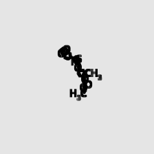 CCOC(=O)COc1ccc(OCc2nc(-c3ccc4c(c3)OCCO4)cs2)cc1C